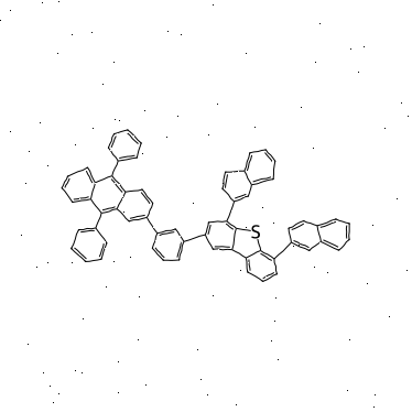 c1ccc(-c2c3ccccc3c(-c3ccccc3)c3cc(-c4cccc(-c5cc(-c6ccc7ccccc7c6)c6sc7c(-c8ccc9ccccc9c8)cccc7c6c5)c4)ccc23)cc1